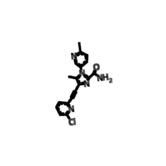 Cc1ccc(-n2c(C(N)=O)nc(C#Cc3cccc(Cl)n3)c2C)cn1